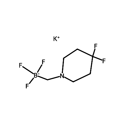 F[B-](F)(F)CN1CCC(F)(F)CC1.[K+]